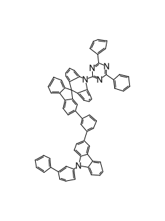 c1ccc(-c2cccc(-n3c4ccccc4c4cc(-c5cccc(-c6ccc7c(c6)C6(c8ccccc8-7)c7ccccc7N(c7nc(-c8ccccc8)nc(-c8ccccc8)n7)c7ccccc76)c5)ccc43)c2)cc1